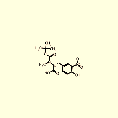 CN(C(=O)OC(C)(C)C)[C@H](Cc1ccc(O)c([N+](=O)[O-])c1)C(=O)O